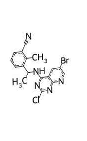 Cc1c(C#N)cccc1C(C)Nc1nc(Cl)nc2ncc(Br)cc12